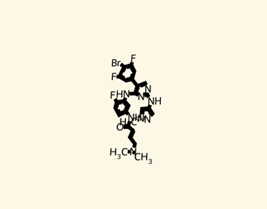 CN(C)C/C=C/C(=O)Nc1ccc(F)c(Nc2nc(Nc3cnn(C)c3)ncc2-c2cc(F)c(Br)c(F)c2)c1